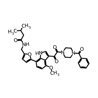 COc1ccc(-c2ccc(CNC(=O)CC(C)C)o2)c2[nH]cc(C(=O)C(=O)N3CCN(C(=O)c4ccccc4)CC3)c12